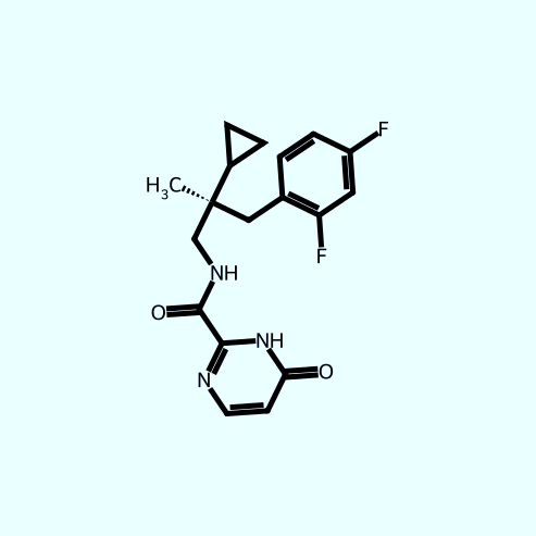 C[C@@](CNC(=O)c1nccc(=O)[nH]1)(Cc1ccc(F)cc1F)C1CC1